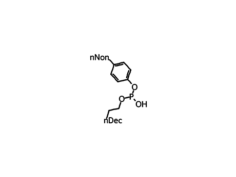 CCCCCCCCCCCCOP(O)Oc1ccc(CCCCCCCCC)cc1